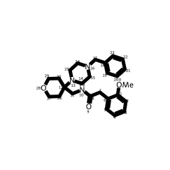 COc1ccccc1CC(=O)NCC1(N2CCN(Cc3ccccc3)CC2)CCOCC1